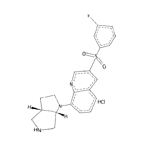 Cl.O=S(=O)(c1cccc(F)c1)c1cnc2c(N3CC[C@H]4CNC[C@H]43)cccc2c1